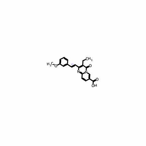 CCc1c(/C=C/c2cccc(OC)c2)nc2ccc(C(=O)O)cn2c1=O